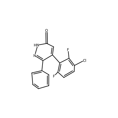 O=c1cc(-c2c(F)ccc(Cl)c2F)c(-c2ccccc2)n[nH]1